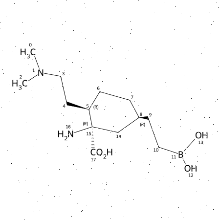 CN(C)CC[C@H]1CC[C@@H](CCB(O)O)C[C@]1(N)C(=O)O